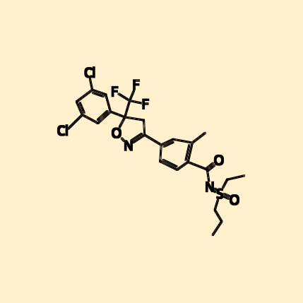 CCCS(=O)(CC)=NC(=O)c1ccc(C2=NOC(c3cc(Cl)cc(Cl)c3)(C(F)(F)F)C2)cc1C